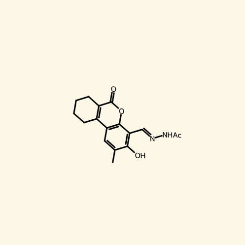 CC(=O)N/N=C/c1c(O)c(C)cc2c3c(c(=O)oc12)CCCC3